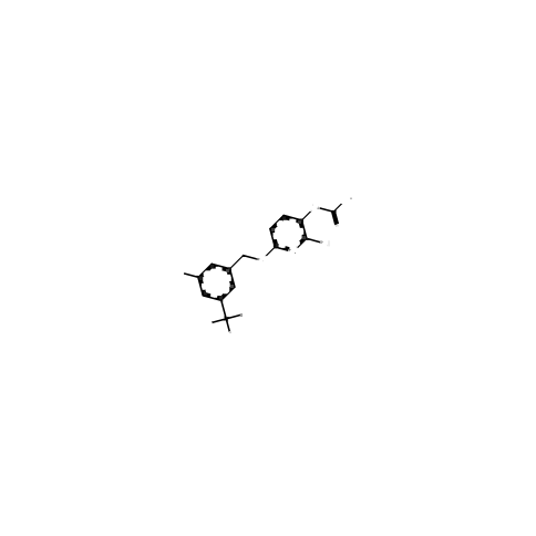 Nc1nc(NCc2cc(F)cc(C(F)(F)F)c2)ccc1NC(=O)O